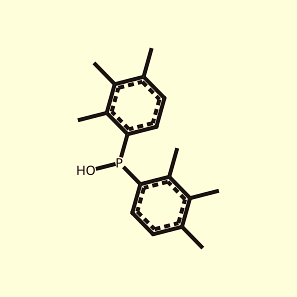 Cc1ccc(P(O)c2ccc(C)c(C)c2C)c(C)c1C